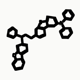 c1ccc(C(CCc2ccc3c(c2)sc2ccc(N(c4ccccc4)c4ccccc4)cc23)c2ccc3c(c2)oc2ccccc23)cc1